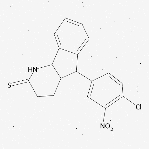 O=[N+]([O-])c1cc(C2c3ccccc3C3NC(=S)CCC32)ccc1Cl